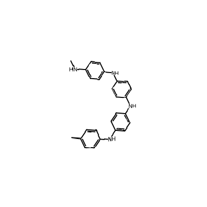 CNc1ccc(Nc2ccc(Nc3ccc(Nc4ccc(C)cc4)cc3)cc2)cc1